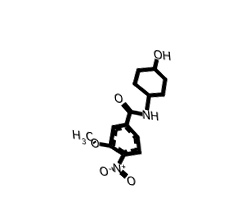 COc1cc(C(=O)NC2CCC(O)CC2)ccc1[N+](=O)[O-]